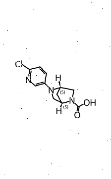 O=C(O)N1C[C@@H]2C[C@H]1CN2c1ccc(Cl)nc1